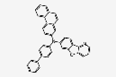 c1ccc(-c2ccc(N(c3ccc4c(ccc5ccccc54)c3)c3ccc4c(c3)oc3cccnc34)cc2)cc1